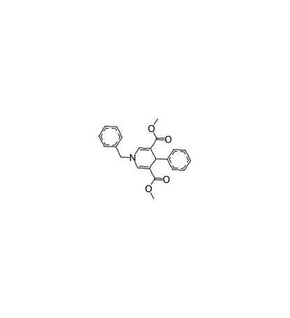 COC(=O)C1=CN(Cc2ccccc2)C=C(C(=O)OC)C1c1ccccc1